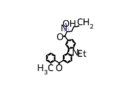 C=CCC/C(=N\O)C(=O)c1ccc2c(c1)c1cc(C(=O)c3ccccc3C)ccc1n2CC